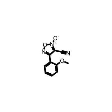 COc1ccccc1-c1no[n+]([O-])c1C#N